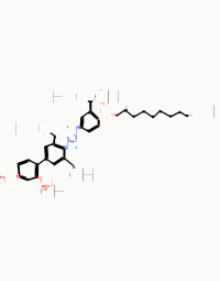 CCCCCCCCCCOc1ccc(/N=N/c2c(CC)cc(-c3ccc(OC)cc3OC)cc2CC)cc1C(C)C